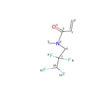 C=CC(=O)N(C)CC(F)(F)C(F)F